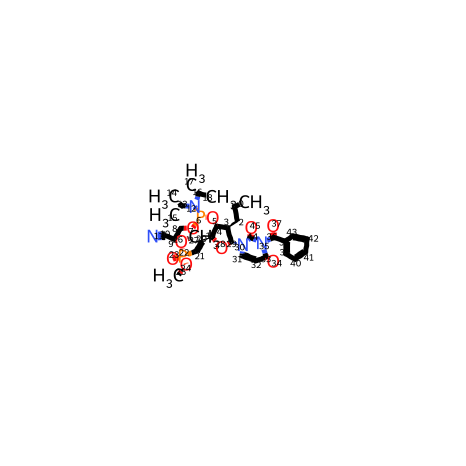 CCC[C@@H]1[C@H](OP(OCCC#N)N(C(C)C)C(C)C)[C@@H](/C=C/P(=O)(OC)OC)O[C@H]1n1ccc(=O)n(C(=O)c2ccccc2)c1=O